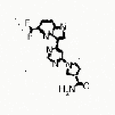 NC(=O)C1CCN(c2cc(-c3cnc4ccc(C(F)F)nn34)ncn2)C1